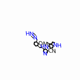 COc1c(C=Cc2cncc(C#N)c2Nc2ccc3[nH]ccc3c2C)cccc1CN1CCNCC1